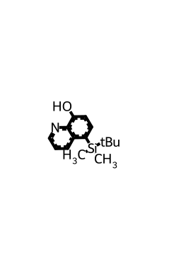 CC(C)(C)[Si](C)(C)c1ccc(O)c2ncccc12